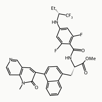 CC[C@@H](Nc1cc(F)c(C(=O)N[C@@H](Cc2ccc(-c3cc4cnccc4n(C)c3=O)c3ccccc23)C(=O)OC)c(F)c1)C(F)(F)F